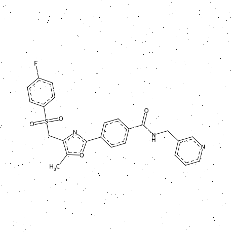 Cc1oc(-c2ccc(C(=O)NCc3cccnc3)cc2)nc1CS(=O)(=O)c1ccc(F)cc1